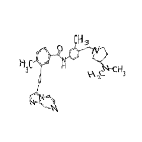 Cc1ccc(C(=O)Nc2ccc(CN3CC[C@@H](N(C)C)C3)c(C)c2)cc1C#Cc1cnc2cnccn12